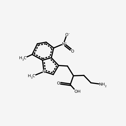 Cc1ccc([N+](=O)[O-])c2c(CC(CCN)C(=O)O)cn(C)c12